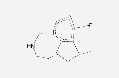 CC1CN2CCNCc3ccc(F)c1c32